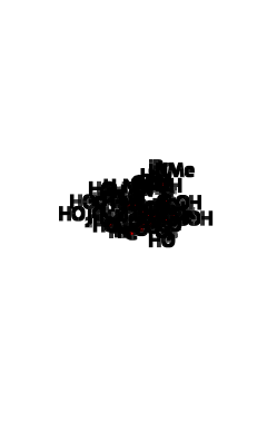 CN[C@H](CC(C)C)C(=O)N[C@H]1C(=O)N[C@@H](CC(N)=O)C(=O)N[C@H]2C(=O)N[C@H]3C(=O)NC(C(=O)N[C@H](C(=O)O)c4cc(O)cc(O)c4-c4cc3ccc4O)[C@H](O)c3ccc(c(Cl)c3)Oc3cc2cc(c3OC2OC(CO)C(OC3OC(CO)C(O)C(O)C3O)C(O)C2OC2CC(C)(N)C(O)C(C)O2)Oc2ccc(cc2Cl)[C@H]1O